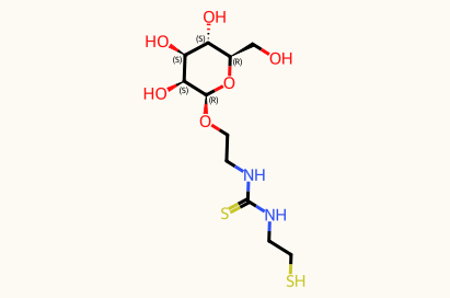 OC[C@H]1O[C@@H](OCCNC(=S)NCCS)[C@@H](O)[C@@H](O)[C@@H]1O